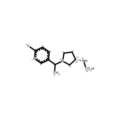 CC(c1ccc(F)nc1)N1CC[C@H](NC(=O)O)C1